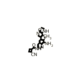 Cc1c(-c2cc3cc(NC(=O)C4CCC4C#N)nnc3c(N)c2F)cnc2c1NCCO2